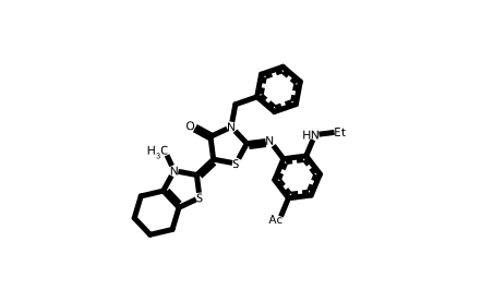 CCNc1ccc(C(C)=O)cc1N=C1SC(=C2SC3=C(CCCC3)N2C)C(=O)N1Cc1ccccc1